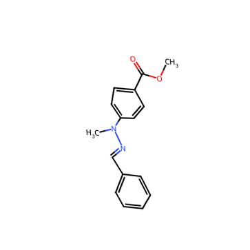 COC(=O)c1ccc(N(C)N=Cc2ccccc2)cc1